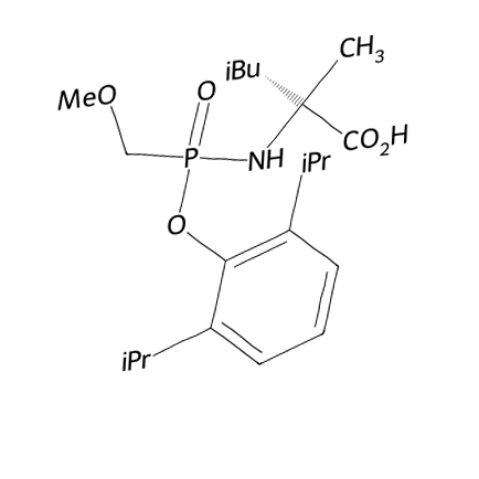 CC[C@@H](C)C(C)(NP(=O)(COC)Oc1c(C(C)C)cccc1C(C)C)C(=O)O